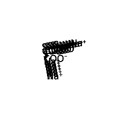 O=C([O-])[S-].O=C([O-])[S-].O=C([O-])[S-].O=C([O-])[S-].O=C([O-])[S-].O=C([O-])[S-].[Na+].[Na+].[Na+].[Na+].[Na+].[Na+].[Na+].[Na+].[Na+].[Na+].[Na+].[Na+]